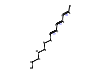 C/C=C/C=C/C=C/CCCCCCC